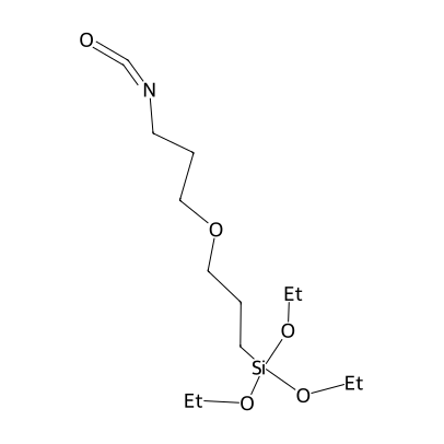 CCO[Si](CCCOCCCN=C=O)(OCC)OCC